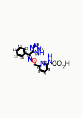 O=C(O)Nc1cccc(CO/N=C(/c2ccccc2)c2nnn[nH]2)n1